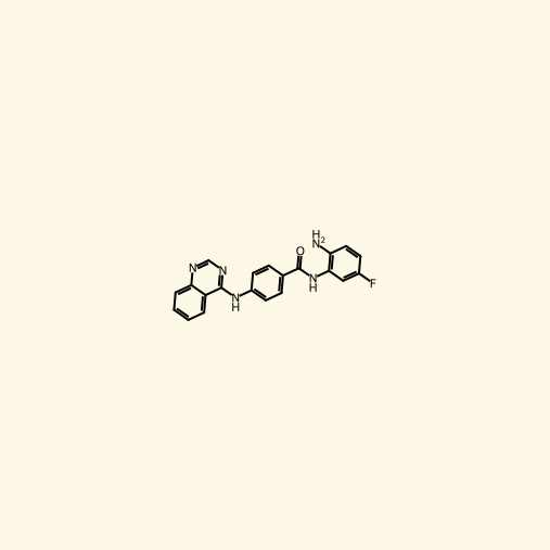 Nc1ccc(F)cc1NC(=O)c1ccc(Nc2ncnc3ccccc23)cc1